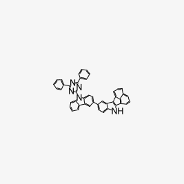 c1ccc(-c2nc(-c3ccccc3)nc(-n3c4ccccc4c4cc(-c5ccc6[nH]c7c(c6c5)-c5cccc6cccc-7c56)ccc43)n2)cc1